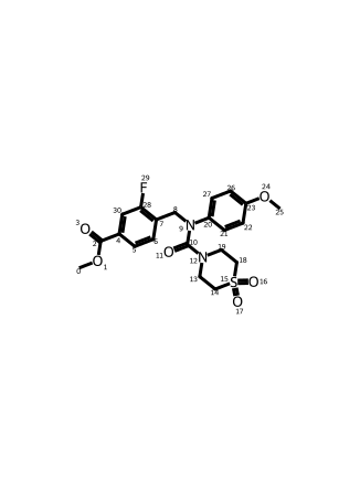 COC(=O)c1ccc(CN(C(=O)N2CCS(=O)(=O)CC2)c2ccc(OC)cc2)c(F)c1